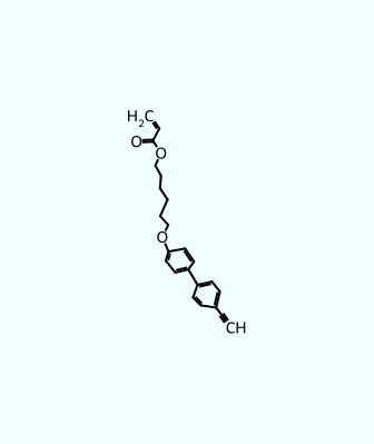 C#Cc1ccc(-c2ccc(OCCCCCCOC(=O)C=C)cc2)cc1